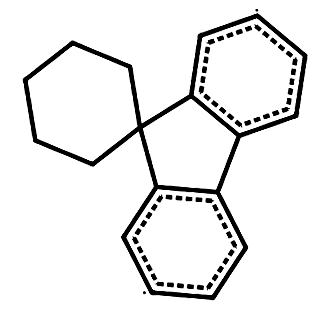 [c]1ccc2c(c1)C1(CCCCC1)c1c[c]ccc1-2